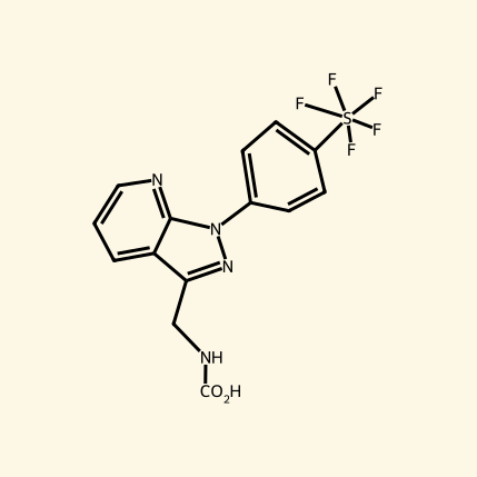 O=C(O)NCc1nn(-c2ccc(S(F)(F)(F)(F)F)cc2)c2ncccc12